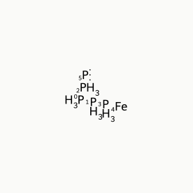 P.P.P.P.[Fe].[P]